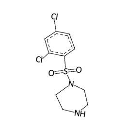 O=S(=O)(c1ccc(Cl)cc1Cl)N1CCNCC1